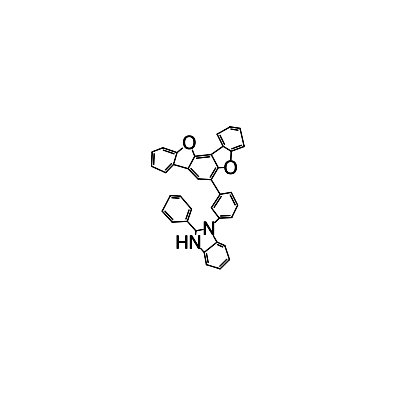 c1ccc(C2Nc3ccccc3N2c2cccc(-c3cc4c5ccccc5oc4c4c3oc3ccccc34)c2)cc1